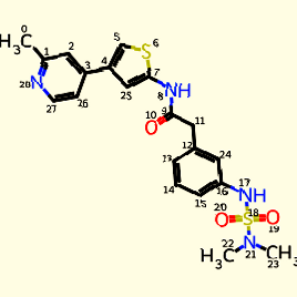 Cc1cc(-c2csc(NC(=O)Cc3cccc(NS(=O)(=O)N(C)C)c3)c2)ccn1